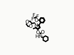 Cc1c(OC(=O)NC2CCCCC2)cc(-c2ccccc2OC(F)(F)F)n1CC1COCCO1